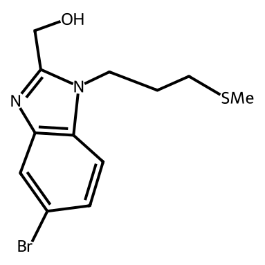 CSCCCn1c(CO)nc2cc(Br)ccc21